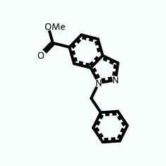 COC(=O)c1ccc2cnn(Cc3ccccc3)c2c1